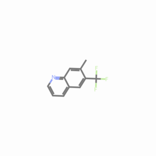 Cc1cc2ncccc2cc1C(F)(F)F